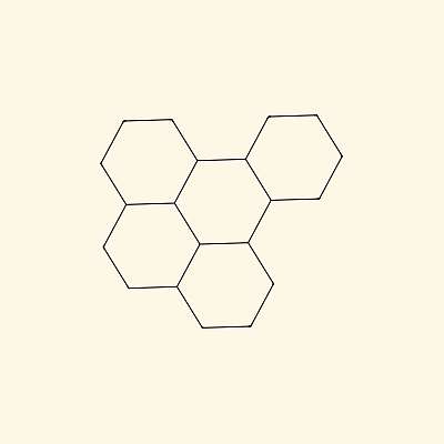 C1CCC2C(C1)C1CCCC3CCC4CCCC2C4C31